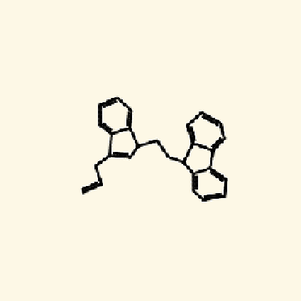 C=CCC1=CC(CCC2c3ccccc3-c3ccccc32)c2ccccc21